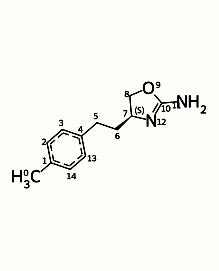 Cc1ccc(CC[C@H]2COC(N)=N2)cc1